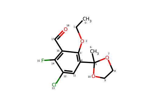 CCOc1c(C2(C)OCCO2)cc(Cl)c(F)c1C=O